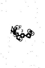 CS(=O)(=O)c1cccc(-c2ccc3c(c2)OCCC2=C3CN(c3ncnn3CC(F)(F)F)S2)c1